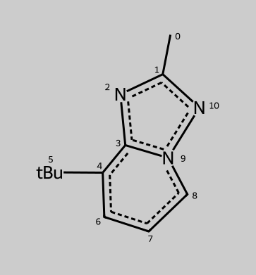 Cc1nc2c(C(C)(C)C)cccn2n1